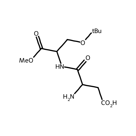 COC(=O)C(COC(C)(C)C)NC(=O)C(N)CC(=O)O